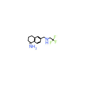 N[C@@H]1CCCc2cc(CNCC(F)(F)F)ccc21